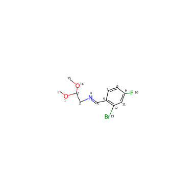 COC(CN=Cc1ccc(F)cc1Br)OC